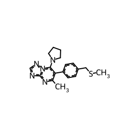 CSCc1ccc(-c2c(C)nc3ncnn3c2N2CCCC2)cc1